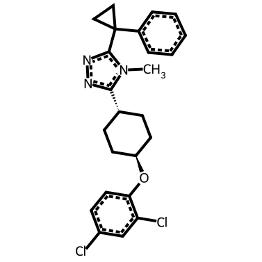 Cn1c(C2(c3ccccc3)CC2)nnc1[C@H]1CC[C@H](Oc2ccc(Cl)cc2Cl)CC1